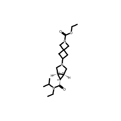 CCOC(=O)N1CC2(CC(N3C[C@@H]4[C@H](C3)[C@H]4C(=O)N(CC)C(C)C)C2)C1